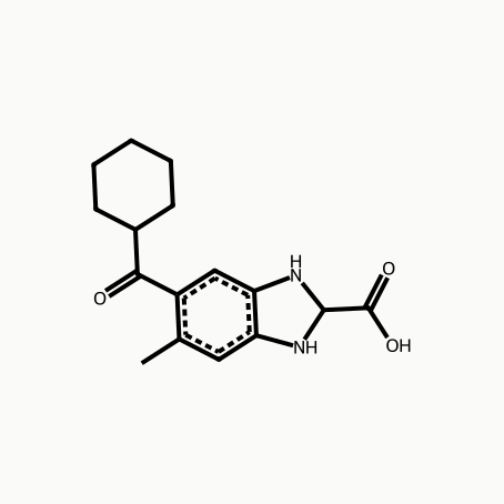 Cc1cc2c(cc1C(=O)C1CCCCC1)NC(C(=O)O)N2